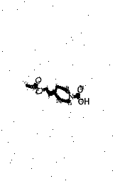 CC(=O)OCC=C1CCN(C(=O)O)CC1